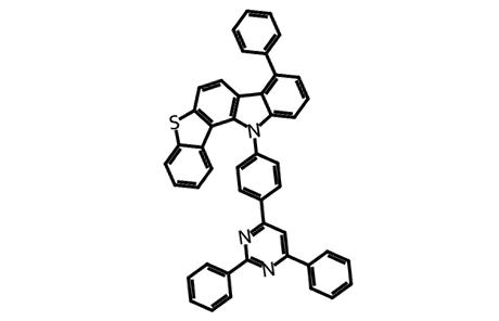 c1ccc(-c2cc(-c3ccc(-n4c5cccc(-c6ccccc6)c5c5ccc6sc7ccccc7c6c54)cc3)nc(-c3ccccc3)n2)cc1